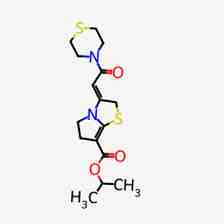 CC(C)OC(=O)C1=C2SCC(=CC(=O)N3CCSCC3)N2CC1